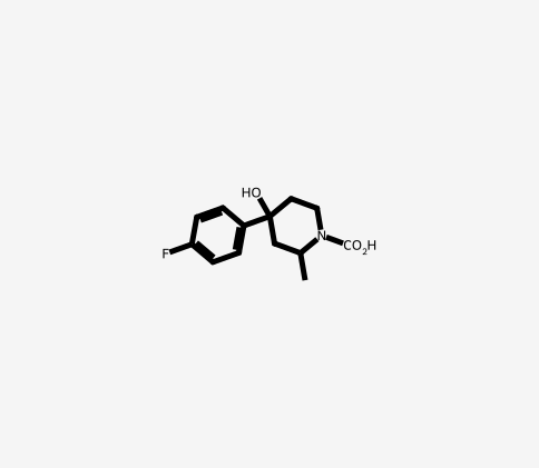 CC1CC(O)(c2ccc(F)cc2)CCN1C(=O)O